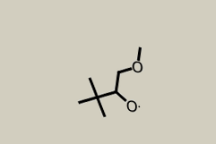 COCC([O])C(C)(C)C